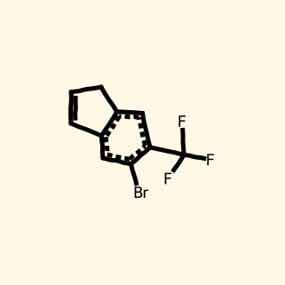 FC(F)(F)c1cc2c(cc1Br)C=CC2